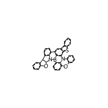 c1ccc2c(c1)OC1C2c2cccc3c2N1B1c2cccc4c2N(c2ccccc2O4)c2c1c-3cc1c2sc2ccccc21